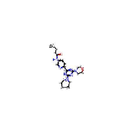 CC(C)(C)CCC(=O)Nc1ccc(-c2nc(N3CCCCCC3)nc(N3CCOCC3)n2)nc1